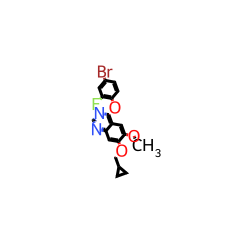 COc1cc2c(Oc3ccc(Br)cc3F)ncnc2cc1OCC1CC1